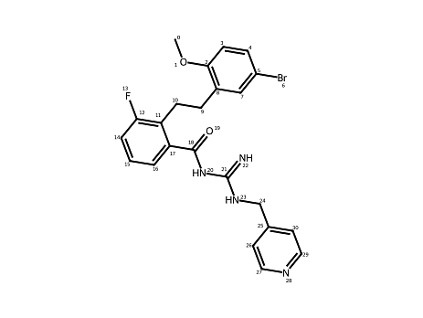 COc1ccc(Br)cc1CCc1c(F)cccc1C(=O)NC(=N)NCc1ccncc1